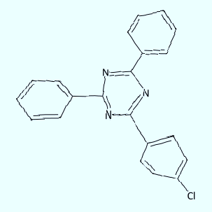 Clc1ccc(-c2nc(-c3ccccc3)nc(-c3ccccc3)n2)cc1